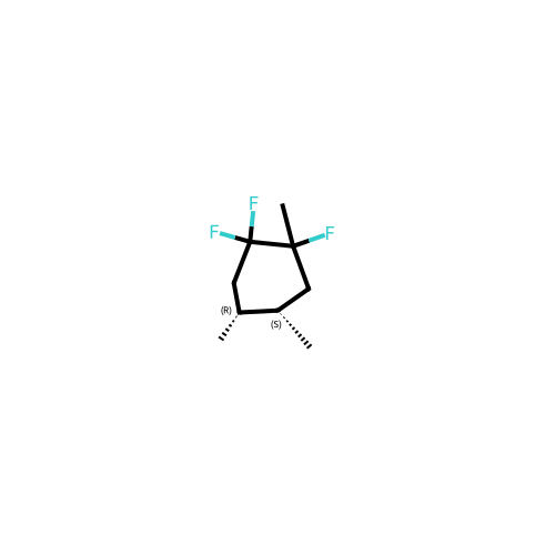 C[C@@H]1CC(F)(F)C(C)(F)C[C@@H]1C